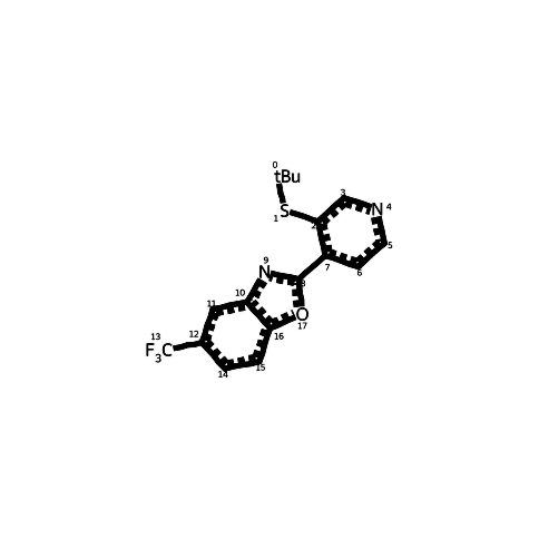 CC(C)(C)Sc1cnccc1-c1nc2cc(C(F)(F)F)ccc2o1